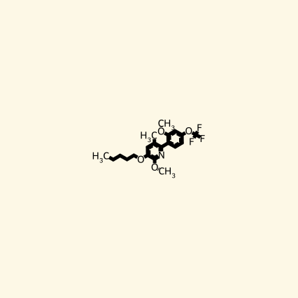 CCCCCOc1cc(C)c(-c2ccc(OC(F)(F)F)cc2OC)nc1OC